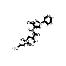 CO/N=C(\CS(=O)(=O)CCC(F)(F)F)C(=O)N(C)c1cn(-c2cccnc2)nc1Cl